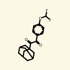 O=C(C(=O)C12CC3CC(CC(C3)C1)C2)c1ccc(OC(F)F)cc1